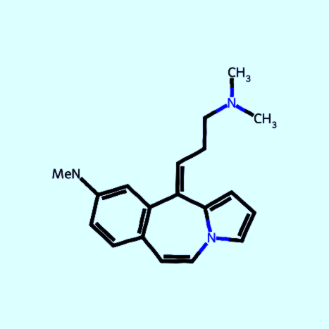 CNc1ccc2c(c1)C(=CCCN(C)C)c1cccn1C=C2